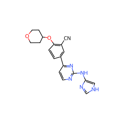 N#Cc1cc(-c2ccnc(Nc3c[nH]cn3)n2)ccc1OC1CCOCC1